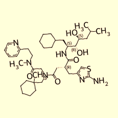 CC(C)C[C@H](O)[C@H](O)[C@H](CC1CCCCC1)NC(=O)[C@@H](CC(=O)N(CC(=O)N(C)CCc1ccccn1)CC1(C)CCCCC1)Cc1csc(N)n1